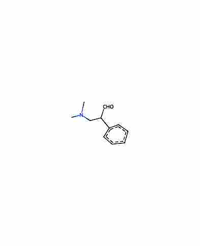 CN(C)CC(C=O)c1ccccc1